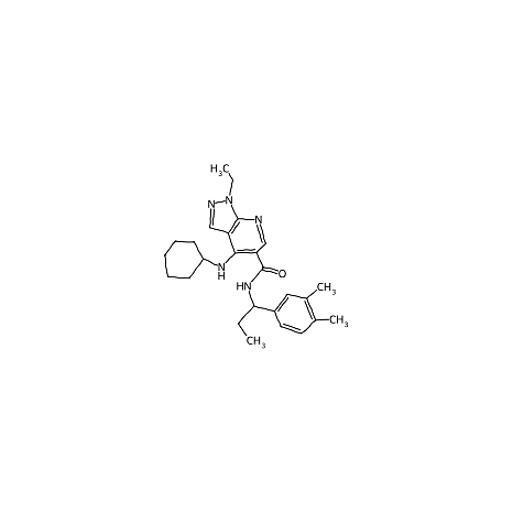 CCC(NC(=O)c1cnc2c(cnn2CC)c1NC1CCCCC1)c1ccc(C)c(C)c1